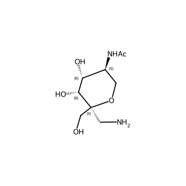 CC(=O)N[C@H]1CO[C@@](CN)(CO)[C@H](O)[C@@H]1O